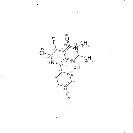 Cc1nc2c(-c3ccc(Cl)cc3F)nc(Cl)c(F)c2c(=O)n1C